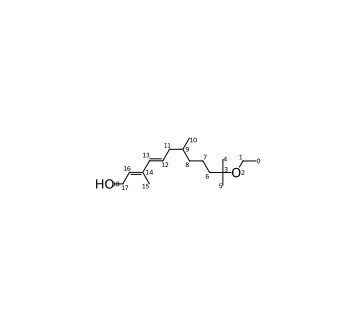 CCOC(C)(C)CCCC(C)C/C=C/C(C)=C/CO